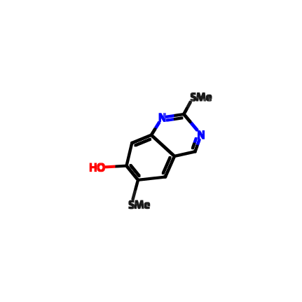 CSc1ncc2cc(SC)c(O)cc2n1